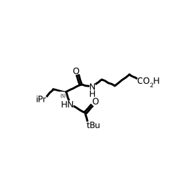 CC(C)C[C@H](NC(=O)C(C)(C)C)C(=O)NCCCC(=O)O